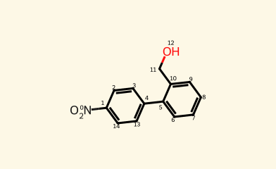 O=[N+]([O-])c1ccc(-c2ccccc2CO)cc1